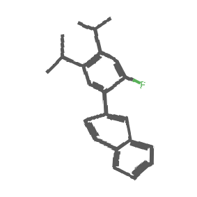 CC(C)c1cc(F)c(-c2ccc3ccccc3c2)cc1C(C)C